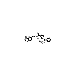 O=C(NCCCc1ccc2c(n1)NCCC2)C1CCN(C(C(=O)O)c2ccccc2)C1